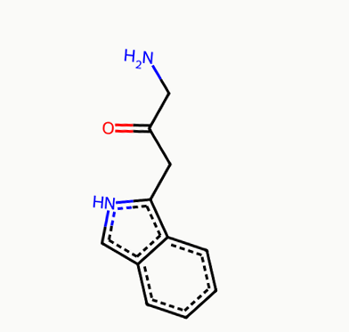 NCC(=O)Cc1[nH]cc2ccccc12